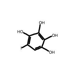 Oc1cc(I)c(O)c(O)c1O